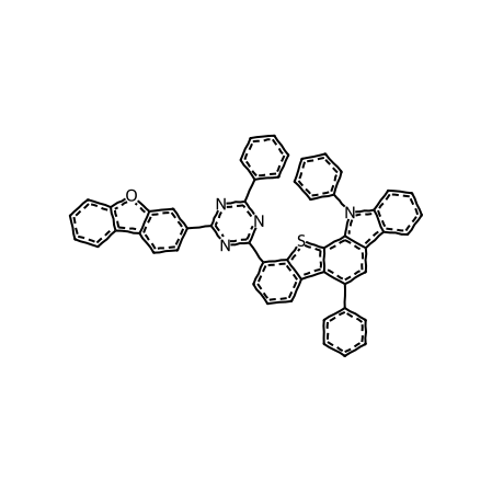 c1ccc(-c2nc(-c3ccc4c(c3)oc3ccccc34)nc(-c3cccc4c3sc3c4c(-c4ccccc4)cc4c5ccccc5n(-c5ccccc5)c43)n2)cc1